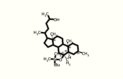 CC(O)CCC(C)C1CCC2C3C[C@](C)(O[Si](C)(C)C(C)(C)C)[C@@H]4C[C@H](C)CC[C@]4(C)C3CC[C@]12C